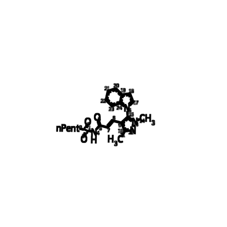 CCCCCS(=O)(=O)NC(=O)/C=C/c1c(C)nn(C)c1-n1ccc2ccccc21